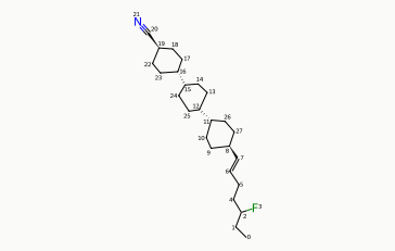 CCC(F)CC/C=C/[C@H]1CC[C@H](C2CCC([C@H]3CC[C@H](C#N)CC3)CC2)CC1